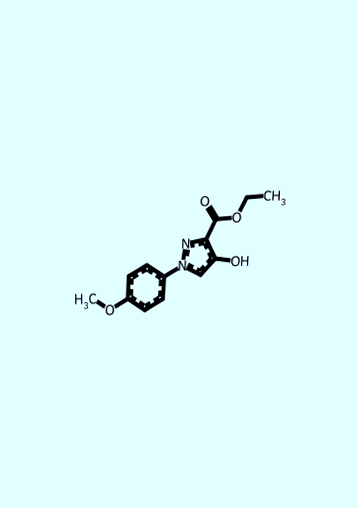 CCOC(=O)c1nn(-c2ccc(OC)cc2)cc1O